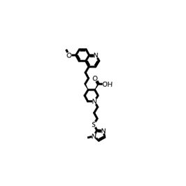 COc1ccc2nccc(CCC[C@@H]3CCN(CCCSc4nccn4C)C[C@@H]3C(=O)O)c2c1